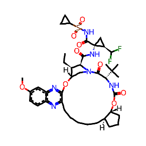 CC[C@@H]1[C@@H]2CN(C(=O)[C@H](C(C)(C)C)NC(=O)O[C@@H]3CCC[C@H]3CCCCCc3nc4ccc(OC)cc4nc3O2)[C@@H]1C(=O)N[C@]1(C(=O)NS(=O)(=O)C2CC2)C[C@H]1C(F)F